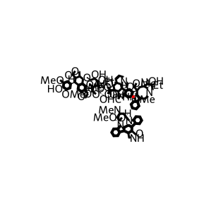 CC[C@]1(O)C[C@H]2C[N@](CCc3c([nH]c4ccccc34)[C@@](C(=O)OC)(c3cc4c(cc3OC)N(C=O)[C@H]3[C@@](O)(C(=O)OC)[C@H](OC(C)=O)[C@]5(CC)C=CCN6CC[C@]43[C@@H]65)C2)C1.CN[C@H]1C[C@@H]2O[C@](C)([C@H]1OC)n1c3ccccc3c3c4c(c5c6ccccc6n2c5c31)C(=O)NC4.COc1cc([C@@H]2c3cc4c(cc3C(O[C@@H]3O[C@@H]5CO[C@@H](C)O[C@H]5[C@H](O)[C@H]3O)C3COC(=O)[C@@H]32)OCO4)cc(OC)c1O